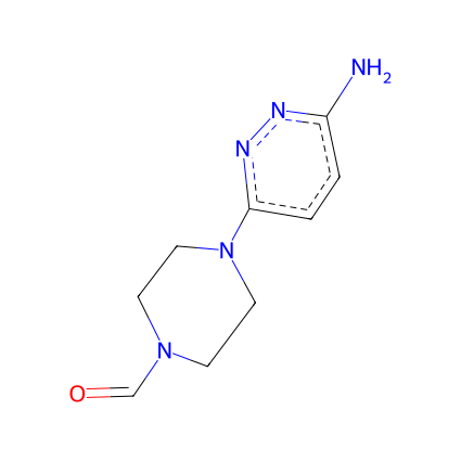 Nc1ccc(N2CCN(C=O)CC2)nn1